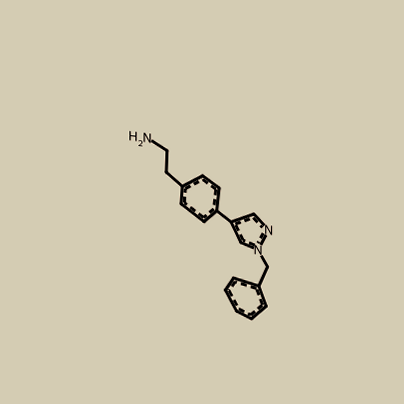 NCCc1ccc(-c2cnn(Cc3ccccc3)c2)cc1